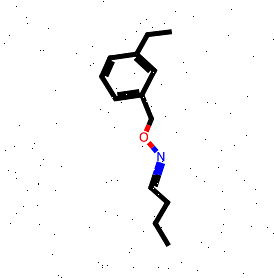 CCCC=NOCc1cccc(CC)c1